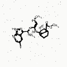 C=N/C=C(\N=C(/N)c1n[nH]c2ncc(F)cc12)N[C@@H]1C2CCC(CC2)[C@@H]1C(=O)OC